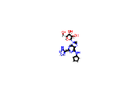 OC[C@H]1O[C@@H](n2cnc3c(NC4CCCC4)nc(-c4nnn[nH]4)nc32)C(O)C1O